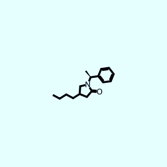 CCCCC1CC(=O)N([C@@H](C)c2ccccc2)C1